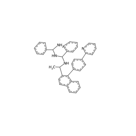 CC(NC(NC(N)c1ccccc1)c1ccccc1)c1ccc2ccccc2c1-c1ccc(-c2ccccn2)cc1